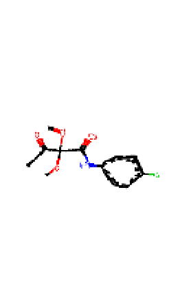 COC(OC)(C(C)=O)C(=O)Nc1ccc(Cl)cc1